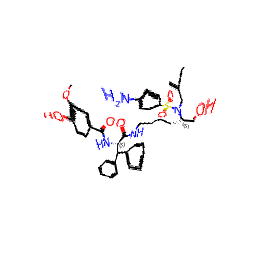 COc1cc(C(=O)N[C@H](C(=O)NCCCC[C@@H](CO)N(CC(C)C)S(=O)(=O)c2ccc(N)cc2)C(c2ccccc2)c2ccccc2)ccc1O